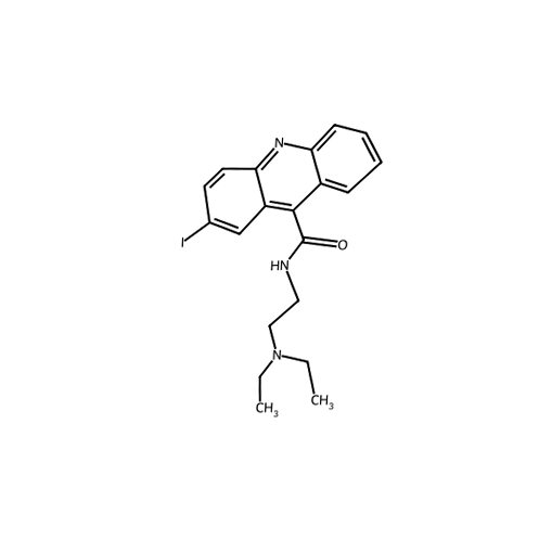 CCN(CC)CCNC(=O)c1c2ccccc2nc2ccc(I)cc12